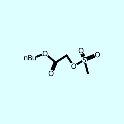 CCCCOC(=O)COS(C)(=O)=O